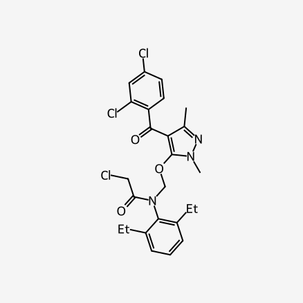 CCc1cccc(CC)c1N(COc1c(C(=O)c2ccc(Cl)cc2Cl)c(C)nn1C)C(=O)CCl